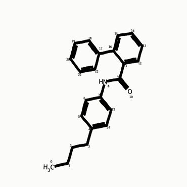 CCCCc1ccc(NC(=O)c2ccccc2-c2ccccc2)cc1